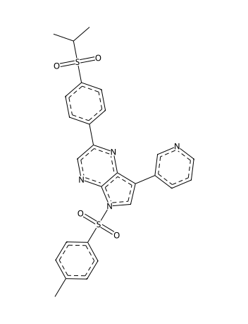 Cc1ccc(S(=O)(=O)n2cc(-c3cccnc3)c3nc(-c4ccc(S(=O)(=O)C(C)C)cc4)cnc32)cc1